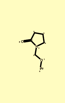 CC(C)OCN1CCCC1=O